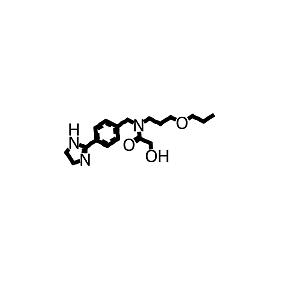 CCCOCCCN(Cc1ccc(C2=NCCN2)cc1)C(=O)CO